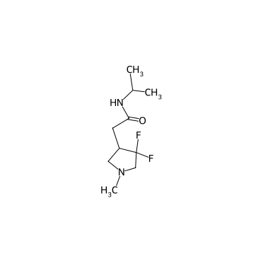 CC(C)NC(=O)CC1CN(C)CC1(F)F